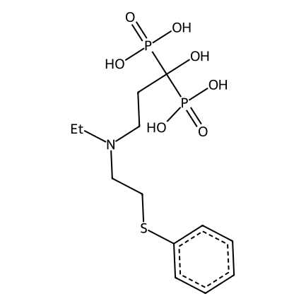 CCN(CCSc1ccccc1)CCC(O)(P(=O)(O)O)P(=O)(O)O